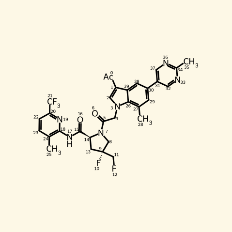 CC(=O)c1cn(CC(=O)N2C[C@@](F)(CF)C[C@H]2C(=O)Nc2nc(C(F)(F)F)ccc2C)c2c(C)cc(-c3cnc(C)nc3)cc12